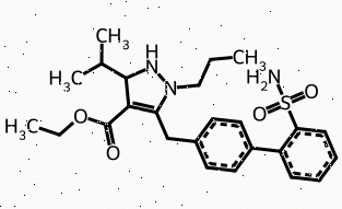 CCCN1NC(C(C)C)C(C(=O)OCC)=C1Cc1ccc(-c2ccccc2S(N)(=O)=O)cc1